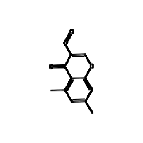 Cc1cc(C)c2c(=O)c(C=O)coc2c1